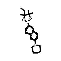 CCC1(C)OB(c2ccc3cc(N4CCCCC4)ccc3c2)OC1(C)C